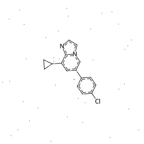 Clc1ccc(-c2cc(C3CC3)c3nccn3c2)cc1